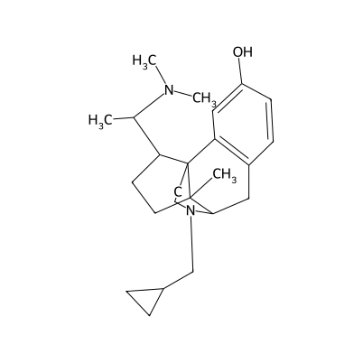 CC(C1CCC2(C)C3Cc4ccc(O)cc4C12CCN3CC1CC1)N(C)C